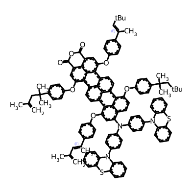 C=C(C)/C=C(\C)c1ccc(Oc2cc(N(c3ccc(N4c5ccccc5Sc5ccccc54)cc3)c3ccc(N4c5ccccc5Sc5ccccc54)cc3)c3ccc(Oc4ccc(C(C)(C)CC(C)(C)C)cc4)c4c5ccc6c7c(Oc8ccc(/C(C)=C/C(C)(C)C)cc8)cc8c9c(cc(Oc%10ccc(C(C)(C)CC(=C)C)cc%10)c(c%10ccc(c2c34)c5c6%10)c97)C(=O)OC8=O)cc1